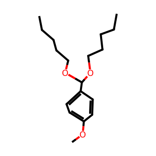 CCCCCOC(OCCCCC)c1ccc(OC)cc1